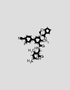 CCN(C(=O)C1CCCC1)c1cc(-c2ccc(C#N)c(F)c2)cc(C(=O)NCc2c(C)cc(C)[nH]c2=O)c1C